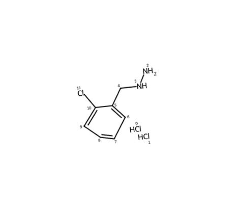 Cl.Cl.NNCc1ccccc1Cl